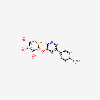 COc1ccc(-c2cncc(O[C@H]3SC[C@@H](O)[C@H](O)[C@H]3O)c2)cc1